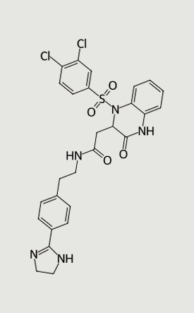 O=C(CC1C(=O)Nc2ccccc2N1S(=O)(=O)c1ccc(Cl)c(Cl)c1)NCCc1ccc(C2=NCCN2)cc1